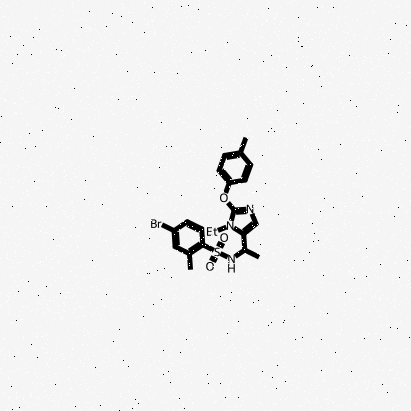 CCn1c(C(C)NS(=O)(=O)c2ccc(Br)cc2C)cnc1Oc1ccc(C)cc1